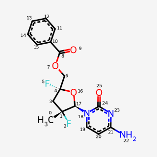 C[C@@]1(F)C[C@@](F)(COC(=O)c2ccccc2)O[C@H]1n1ccc(N)nc1=O